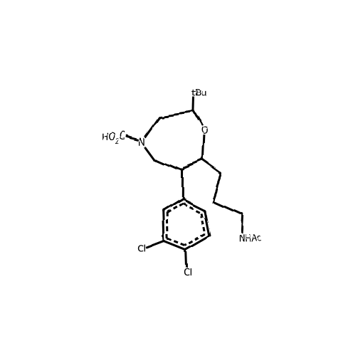 CC(=O)NCCCC1OC(C(C)(C)C)CN(C(=O)O)CC1c1ccc(Cl)c(Cl)c1